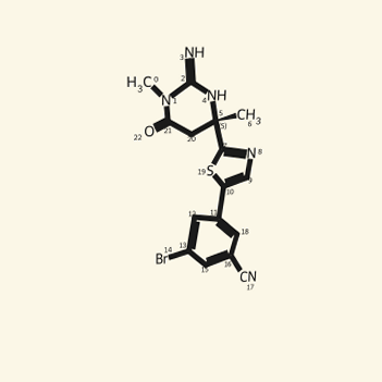 CN1C(=N)N[C@](C)(c2ncc(-c3cc(Br)cc(C#N)c3)s2)CC1=O